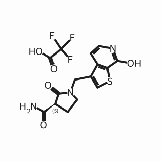 NC(=O)[C@@H]1CCN(Cc2csc3c(O)nccc23)C1=O.O=C(O)C(F)(F)F